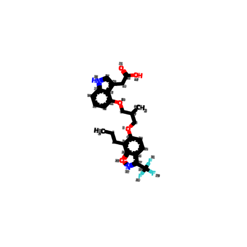 CCCc1c(OCC(C)COc2cccc3[nH]cc(CC(=O)O)c23)ccc2c(C(F)(F)F)noc12